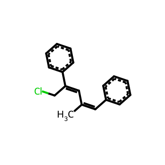 CC(=Cc1ccccc1)C=C(CCl)c1ccccc1